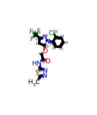 Cc1nnc(NC(=O)COC2CC(C(F)(F)F)=NN2c2ccccc2Cl)s1